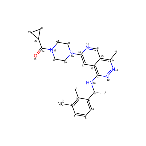 Cc1c(C#N)cccc1[C@@H](C)Nc1nnc(C)c2cnc(N3CCN(C(=O)C4CC4)CC3)cc12